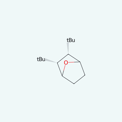 CC(C)(C)[C@@H]1C2CCC(O2)[C@@H]1C(C)(C)C